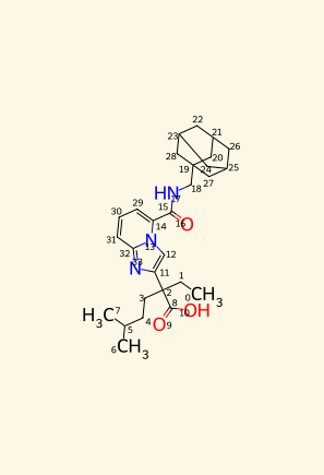 CCC(CCC(C)C)(C(=O)O)c1cn2c(C(=O)NCC34CC5CC(CC(C5)C3)C4)cccc2n1